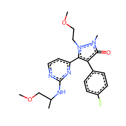 COCCn1c(-c2ccnc(NC(C)COC)n2)c(-c2ccc(F)cc2)c(=O)n1C